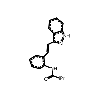 CC(C)C(=O)Nc1ccccc1C=Cc1n[nH]c2ccccc12